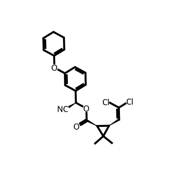 CC1(C)[C@H](C=C(Cl)Cl)[C@@H]1C(=O)O[C@@H](C#N)c1cccc(OC2=CCCC=C2)c1